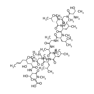 CC=CC[C@@H](C)[C@@H](O)[C@@H](C(=O)N[C@H](C(=O)N(C)CC(=O)O)[C@@H](C)O)N(C)C(=O)[C@H](C(C)C)N(C)C(=O)[C@H](CC(C)C)NC(=O)[C@H](CC(C)C)N(C)C(=O)[C@@H](C)NC(=O)[C@H](C)NC(=O)[C@H](CC(C)C)N(C)C(=O)[C@H](CC(C)C)NC(=O)[C@H](CC(C)C)N(C)C(=O)CN(C)C(=O)[C@@H](N)[C@@H](C)O